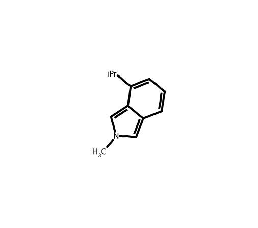 CC(C)c1cccc2cn(C)cc12